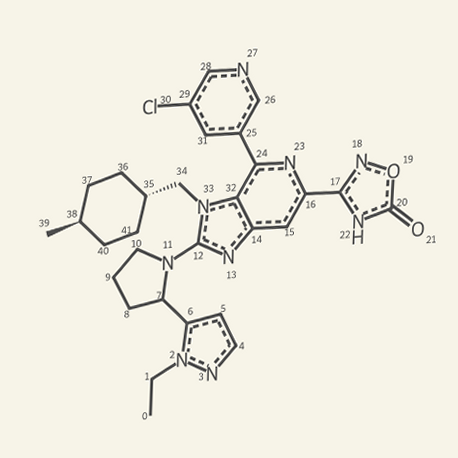 CCn1nccc1C1CCCN1c1nc2cc(-c3noc(=O)[nH]3)nc(-c3cncc(Cl)c3)c2n1C[C@H]1CC[C@H](C)CC1